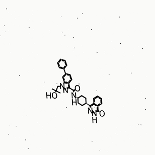 CC(C)(O)Cn1nc(C(=O)N[C@H]2CC[C@H](c3n[nH]c(=O)c4ccccc43)CC2)c2ccc(-c3ccccc3)cc21